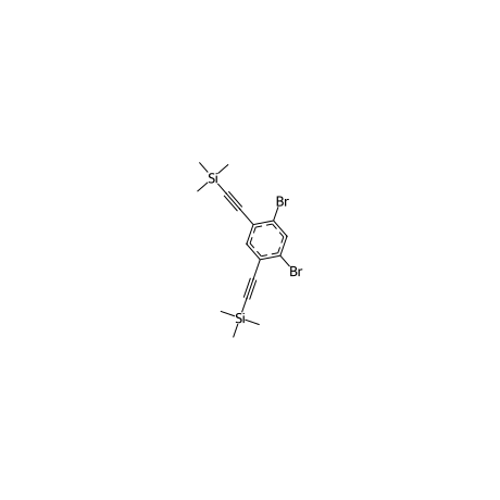 C[Si](C)(C)C#Cc1cc(C#C[Si](C)(C)C)c(Br)cc1Br